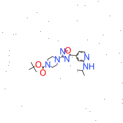 CC(C)Nc1cc(-c2nc(N3CCN(C(=O)OC(C)(C)C)CC3)no2)ccn1